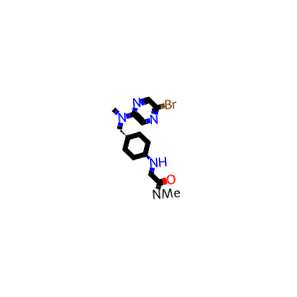 CNC(=O)CN[C@H]1CC[C@H](CN(C)c2cnc(Br)cn2)CC1